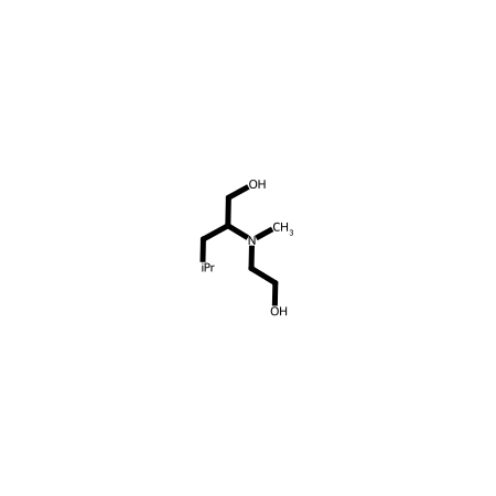 CC(C)CC(CO)N(C)CCO